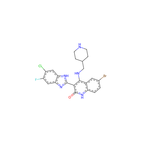 O=c1[nH]c2ccc(Br)cc2c(NCC2CCNCC2)c1-c1nc2cc(F)c(Cl)cc2[nH]1